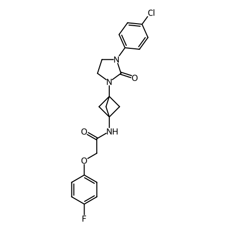 O=C(COc1ccc(F)cc1)NC12CC(N3CCN(c4ccc(Cl)cc4)C3=O)(C1)C2